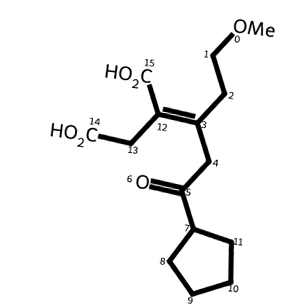 COCCC(CC(=O)C1CCCC1)=C(CC(=O)O)C(=O)O